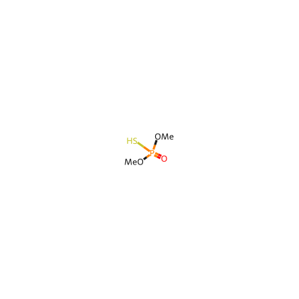 COP(=O)(S)OC